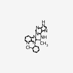 C[C@H](Nc1ncnc2[nH]cnc12)c1nc2cccnc2n1-c1ccccc1Cl